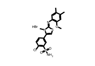 Br.COc1cc(C)c(C)cc1N=c1scc(-c2ccc(Cl)c(S(N)(=O)=O)c2)n1C